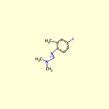 Cc1cc(I)ccc1/N=C/N(C)C